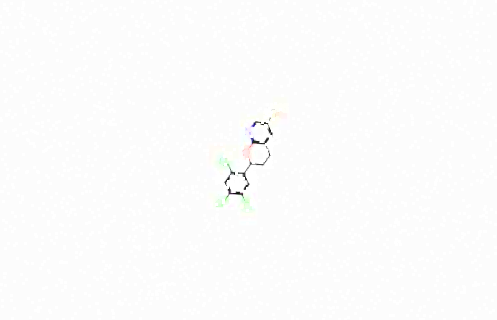 Clc1cc(Cl)c(C2CCc3cc(Br)cnc3O2)cc1Cl